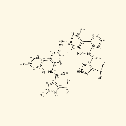 CN(C(=O)c1c[nH]nc1C(F)Cl)c1ccccc1-c1cc(F)c(F)cc1F.Cn1cc(C(=O)Nc2ccc(F)cc2-c2ccc(F)cc2F)c(C(F)F)n1